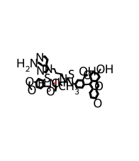 CC(C)N(CCCn1c(Sc2cc3c(cc2-c2ncco2)OCO3)nc2c(N)nccc21)C(=S)Nc1ccc(-c2c3ccc(=O)cc-3oc3cc(O)ccc23)c(C(=O)O)c1